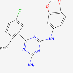 COc1ccc(Cl)cc1-c1nc(N)nc(Nc2ccc3c(c2)OCO3)n1